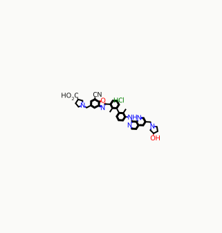 Cc1c(Nc2nccc3cc(CN4CC[C@@H](O)C4)cnc23)cccc1-c1cccc(-c2nc3cc(CN4CC[C@@H](C(=O)O)C4)cc(C#N)c3o2)c1C.Cl